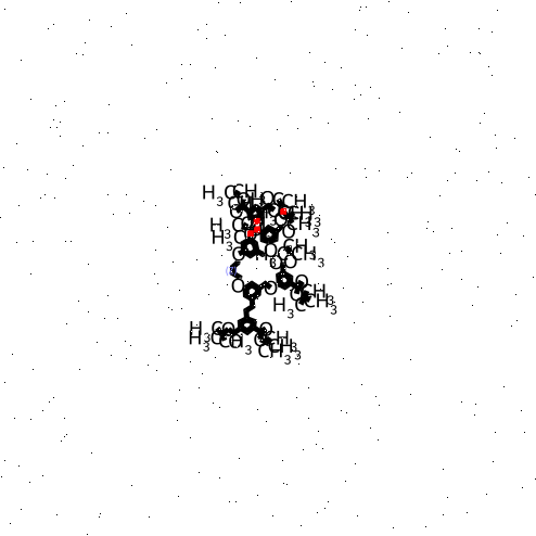 CC(C)(C)OC(=O)c1cc(CCc2cc(COc3cc(C(=O)OC(C)(C)C)cc(C(=O)OC(C)(C)C)c3)cc(OC/C=C\COc3cc(COc4cc(C(=O)OC(C)(C)C)cc(C(=O)OC(C)(C)C)c4)cc(COc4cc(C(=O)OC(C)(C)C)cc(C(=O)OC(C)(C)C)c4)c3)c2)cc(C(=O)OC(C)(C)C)c1